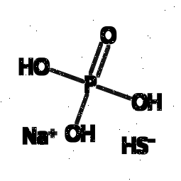 O=P(O)(O)O.[Na+].[SH-]